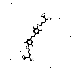 CCC(CCCOc1c(C)cc(CCc2cc(C)c(OCCCC(CC)C3CO3)c(C)c2)cc1C)C1CO1